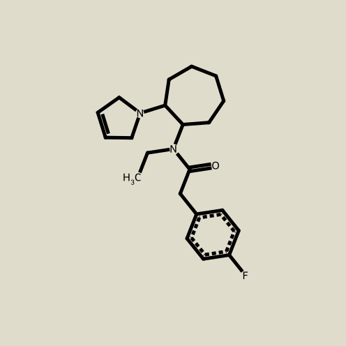 CCN(C(=O)Cc1ccc(F)cc1)C1CCCCCC1N1CC=CC1